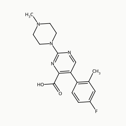 Cc1cc(F)ccc1-c1cnc(N2CCN(C)CC2)nc1C(=O)O